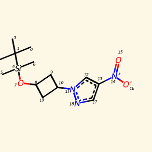 CC(C)(C)[Si](C)(C)OC1CC(n2cc([N+](=O)[O-])cn2)C1